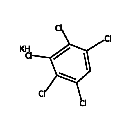 Clc1cc(Cl)c(Cl)c(Cl)c1Cl.[KH]